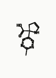 Cc1ncc(C2(C(=O)O)CC=CN2)cn1